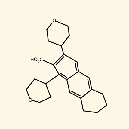 O=C(O)c1c(C2CCOCC2)cc2cc3c(cc2c1C1CCOCC1)CCCC3